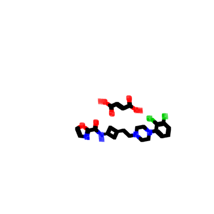 O=C(N[C@H]1C[C@H](CCN2CCN(c3cccc(Cl)c3Cl)CC2)C1)c1ncco1.O=C(O)/C=C/C(=O)O